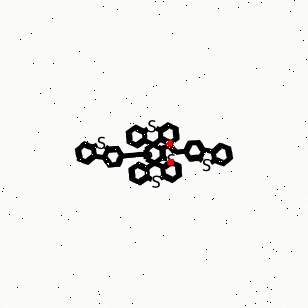 c1ccc2c(c1)Sc1ccccc1C21c2cc(-c3ccc4c(c3)sc3ccccc34)sc2C2(c3ccccc3Sc3ccccc32)c2cc(-c3ccc4c(c3)sc3ccccc34)sc21